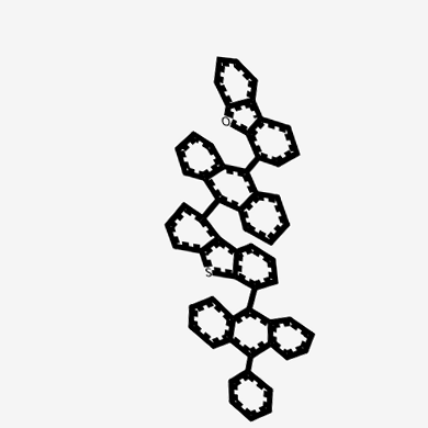 c1ccc(-c2c3ccccc3c(-c3cccc4c3sc3cccc(-c5c6ccccc6c(-c6cccc7c6oc6ccccc67)c6ccccc56)c34)c3ccccc23)cc1